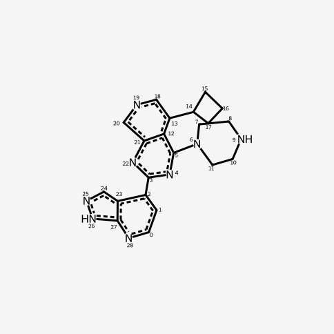 c1cc(-c2nc(N3CCNCC3)c3c(C4CCC4)cncc3n2)c2cn[nH]c2n1